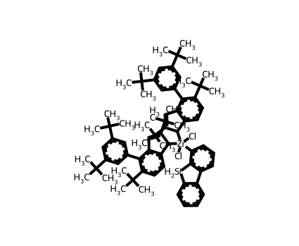 CC(C)(C)C1=Cc2c(ccc(C(C)(C)C)c2-c2cc(C(C)(C)C)cc(C(C)(C)C)c2)[CH]1[Zr]([Cl])([Cl])([c]1cccc2c1[SiH2]c1ccccc1-2)[CH]1C(C(C)(C)C)=Cc2c1ccc(C(C)(C)C)c2-c1cc(C(C)(C)C)cc(C(C)(C)C)c1